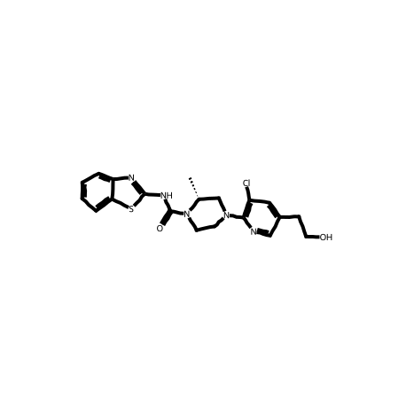 C[C@@H]1CN(c2ncc(CCO)cc2Cl)CCN1C(=O)Nc1nc2ccccc2s1